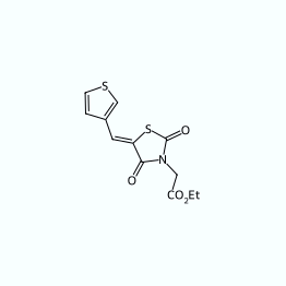 CCOC(=O)CN1C(=O)SC(=Cc2ccsc2)C1=O